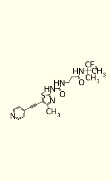 Cc1nc(NC(=O)NCCC(=O)NC(C)(C)C(F)(F)F)sc1C#Cc1ccncc1